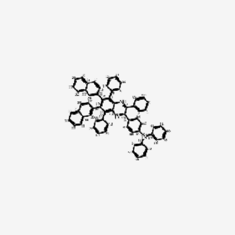 c1ccc(-c2nc3c(-c4ccccc4)c(-c4ccc5ccccc5c4)c(-c4ccc5ccccc5c4)c(-c4ccccc4)c3nc2-c2ccc(N(c3ccccc3)c3ccccc3)cc2)cc1